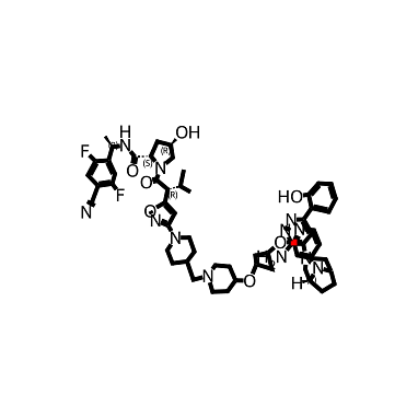 CC(C)[C@@H](C(=O)N1C[C@H](O)C[C@H]1C(=O)N[C@H](C)c1cc(F)c(C#N)cc1F)c1cc(N2CCC(CN3CCC(OC4CC(Oc5cc(N6C7CC[C@@H]6CN(c6cc(-c8ccccc8O)nnc6N)C7)ccn5)C4)CC3)CC2)no1